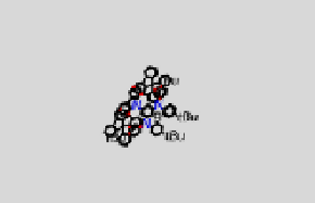 CC(C)(C)c1ccc(N2c3ccc(C(C)(C)C)cc3B3c4cc(C(C)(C)C)ccc4N(c4ccc(C(C)(C)C)cc4)c4cc(-n5c6c(-c7cccc8c7C7(c9ccccc9-c9ccccc97)c7ccccc7-8)cccc6c6cccc(-c7cccc8c7C7(c9ccccc9-c9ccccc97)c7ccccc7-8)c65)cc2c43)cc1